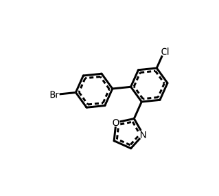 Clc1ccc(-c2ncco2)c(-c2ccc(Br)cc2)c1